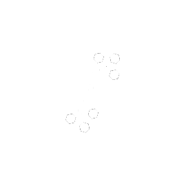 c1ccc(C(OCC2CCCC(OC3CCCC(COC(c4ccccc4)(c4ccccc4)c4ccccc4)C3)C2)(c2ccccc2)c2ccccc2)cc1